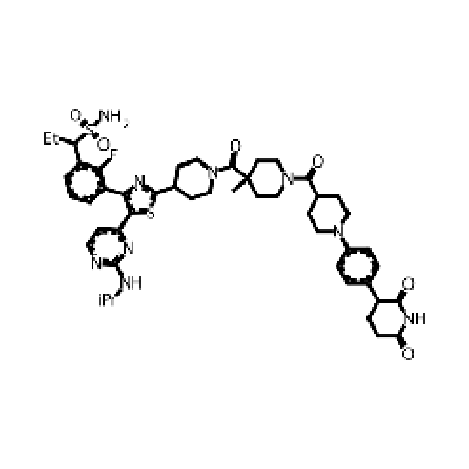 CCC(c1cccc(-c2nc(C3CCN(C(=O)C4(C)CCN(C(=O)C5CCN(c6ccc(C7CCC(=O)NC7=O)cc6)CC5)CC4)CC3)sc2-c2ccnc(NC(C)C)n2)c1F)S(N)(=O)=O